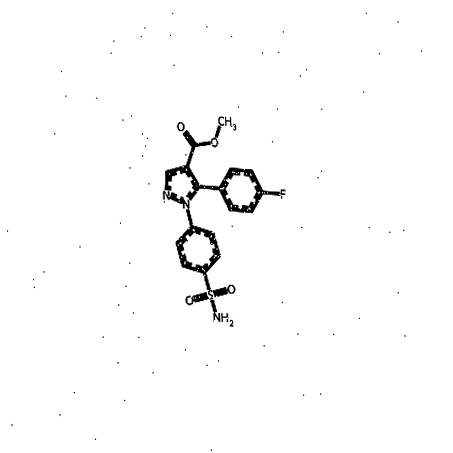 COC(=O)c1cnn(-c2ccc(S(N)(=O)=O)cc2)c1-c1ccc(F)cc1